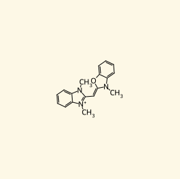 CN1C(=Cc2n(C)c3ccccc3[n+]2C)Oc2ccccc21